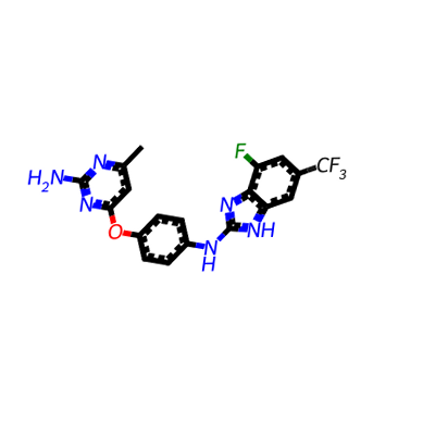 Cc1cc(Oc2ccc(Nc3nc4c(F)cc(C(F)(F)F)cc4[nH]3)cc2)nc(N)n1